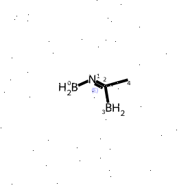 B/N=C(\B)C